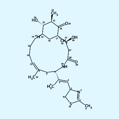 CC1=NC(/C=C(\C)[C@@H]2C/C(C)=C\CCC[C@@H]3C[C@@](C)(C(=O)[C@H](C)[C@H]3O)[C@@H](O)CC(=O)N2)CS1